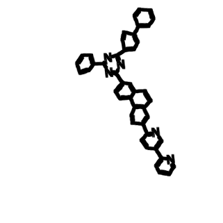 c1ccc(-c2ccc(-c3nc(-c4ccccc4)nc(-c4ccc5c(ccc6cc(-c7ccc(-c8ccccn8)cn7)ccc65)c4)n3)cc2)cc1